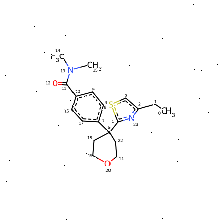 CCc1csc(C2(c3ccc(C(=O)N(C)C)cc3)CCOCC2)n1